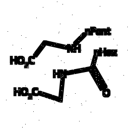 CCCCCCC(=O)NCC(=O)O.CCCCCNCC(=O)O